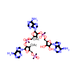 CC(=O)OC1C(OP(C)(=O)OC[C@H]2O[C@@H](n3cnc4c(N)ncnc43)C(OP(C)(=O)OC[C@H]3O[C@@H](n4cnc5c(N)ncnc54)C(O)C3O)C2OC(C)=O)[C@H](n2cnc3c(N)ncnc32)O[C@@H]1COP(C)(C)=O